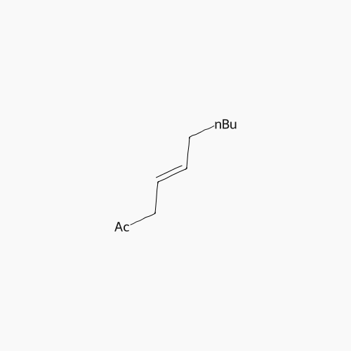 CCCCC/C=C/CC(C)=O